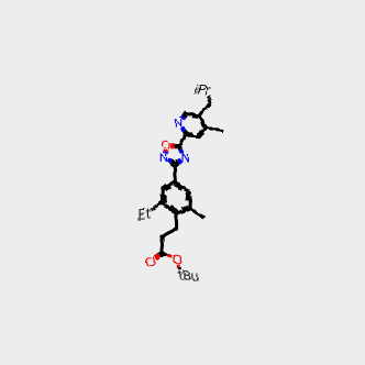 CCc1cc(-c2noc(-c3cc(C)c(CC(C)C)cn3)n2)cc(C)c1CCC(=O)OC(C)(C)C